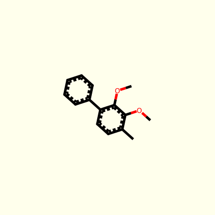 COc1c(C)ccc(-c2ccccc2)c1OC